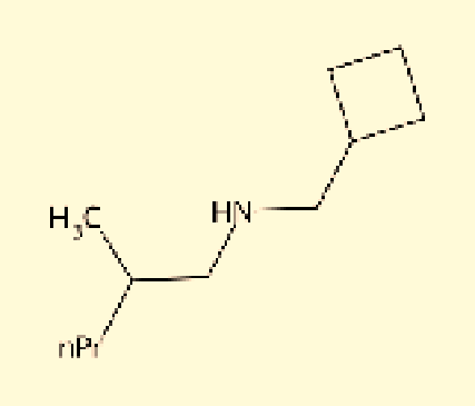 CCCC(C)CNCC1CCC1